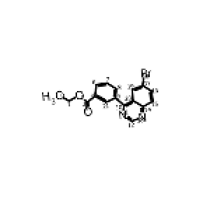 CCOC(=O)c1cccc(-c2ncnc3ccc(Br)cc23)c1